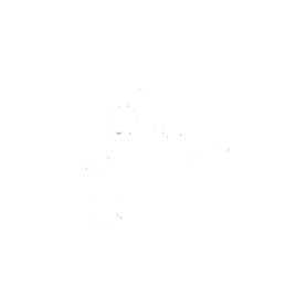 COC(=O)N/N=C1\CCN(C)c2ccc(-c3sc(-c4cccnc4)nc3C)nc21